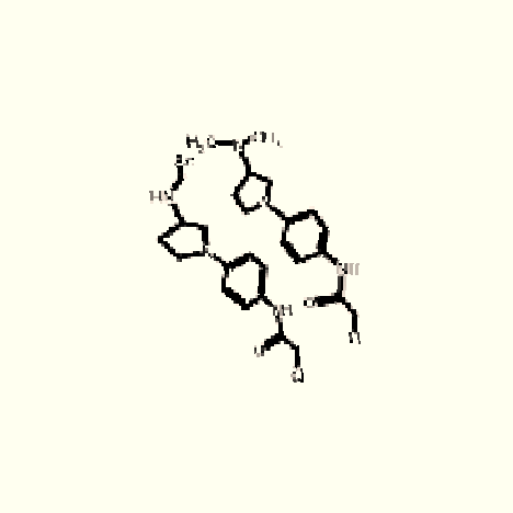 CC(=O)CNC1CCN(c2ccc(NC(=O)CCl)cc2)C1.CN(C)C1CCN(c2ccc(NC(=O)CCl)cc2)C1